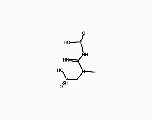 CN(C[PH](=O)O)C(=N)NP(O)O